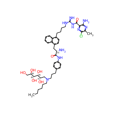 CCCCCCN(CCCc1ccc(NC(=O)[C@@H](N)Cc2ccc(CCCCNC(=N)NC(=O)c3nc(Cl)c(C)nc3N)c3ccccc23)cc1)C[C@H](O)[C@@H](O)[C@H](O)[C@H](O)CO